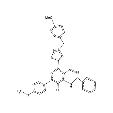 COc1ccc(Cn2cc(-c3cn(-c4ccc(OC(F)(F)F)cc4)c(=O)c(NCc4ccccc4)c3C=N)cn2)cc1